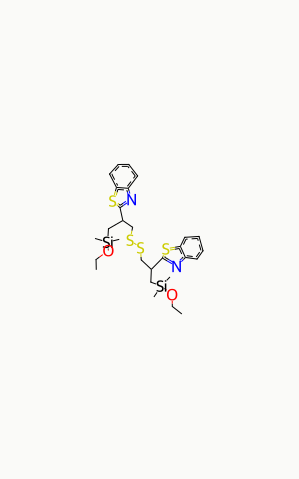 CCO[Si](C)(C)CC(CSSCC(C[Si](C)(C)OCC)c1nc2ccccc2s1)c1nc2ccccc2s1